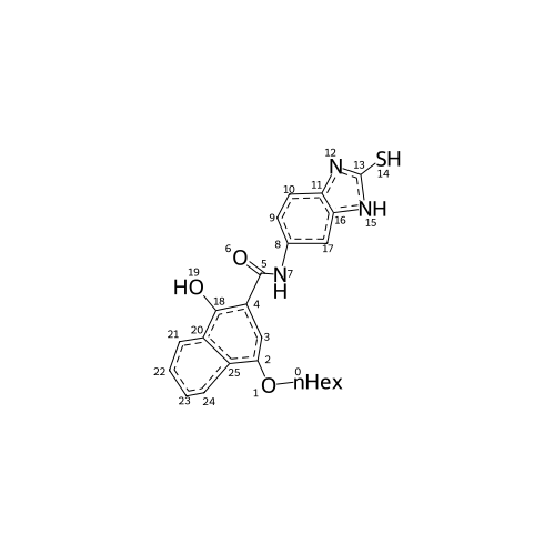 CCCCCCOc1cc(C(=O)Nc2ccc3nc(S)[nH]c3c2)c(O)c2ccccc12